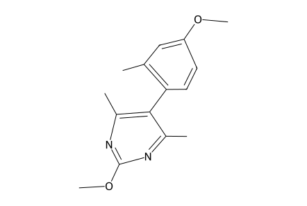 COc1ccc(-c2c(C)nc(OC)nc2C)c(C)c1